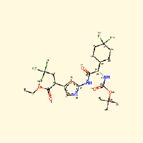 CCOC(=O)C(CC(F)(F)F)c1cnc(NC(=O)[C@@H](NC(=O)OC(C)(C)C)C2CCC(F)(F)CC2)s1